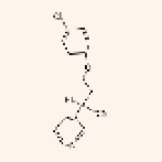 CCC(C#N)(CCOc1ccc(Cl)cc1)c1cccnc1